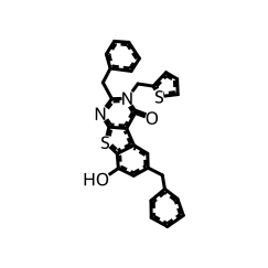 O=c1c2c(nc(Cc3ccccc3)n1Cc1cccs1)sc1c(O)cc(Cc3ccccc3)cc12